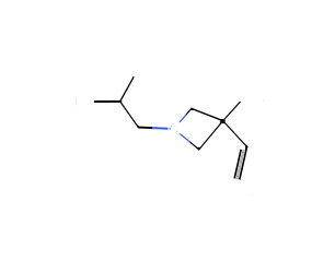 C=CC1(C)CN(CC(C)C)C1